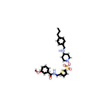 CCCc1ccc(CNC2CCN(OS(=O)(=O)c3ccc(CNC(=O)c4cccc(OC)c4)s3)CC2)cc1